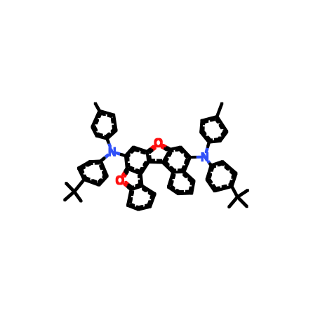 Cc1ccc(N(c2ccc(C(C)(C)C)cc2)c2cc3oc4cc(N(c5ccc(C)cc5)c5ccc(C(C)(C)C)cc5)c5oc6ccccc6c5c4c3c3ccccc23)cc1